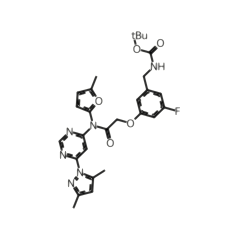 Cc1cc(C)n(-c2cc(N(C(=O)COc3cc(F)cc(CNC(=O)OC(C)(C)C)c3)c3ccc(C)o3)ncn2)n1